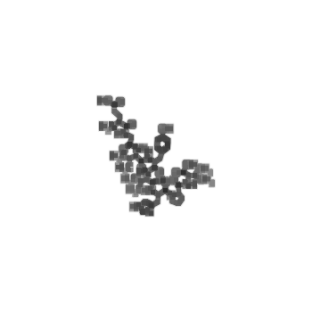 CC(C)C(NC(=O)C1CCCN1C(=O)C(Cc1c[nH]cn1)NC(=O)C(NC(=O)C(Cc1ccc(O)cc1)NC(=O)C(NC(=O)CNC(=O)C(N)CCC(=O)O)C(C)C)C(C)C)C(=O)O